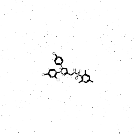 Cc1cc(C)c(S(=O)(=O)NCC2=NN(c3ccc(Cl)cc3Cl)[C@@H](c3ccc(Cl)cc3)C2)c(C)c1